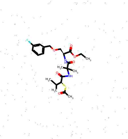 CCOC(=O)[C@H](COCc1cccc(F)c1)NC(=O)C(C)(C)NC(=O)[C@@H](SC(C)=O)C(C)C